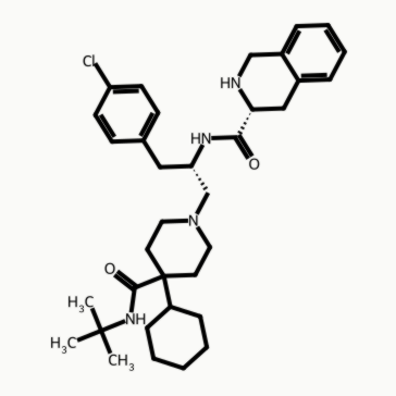 CC(C)(C)NC(=O)C1(C2CCCCC2)CCN(C[C@H](Cc2ccc(Cl)cc2)NC(=O)[C@H]2Cc3ccccc3CN2)CC1